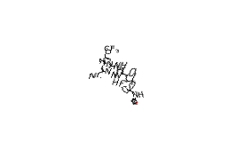 N#Cc1cc2nc(COC(F)(F)F)cn2c(Nc2cc([C@H]3OC[C@@H](OC(=O)NC45CC(C4)C5)[C@H]3F)[nH]n2)n1